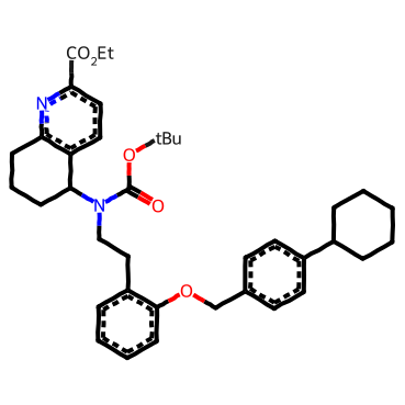 CCOC(=O)c1ccc2c(n1)CCCC2N(CCc1ccccc1OCc1ccc(C2CCCCC2)cc1)C(=O)OC(C)(C)C